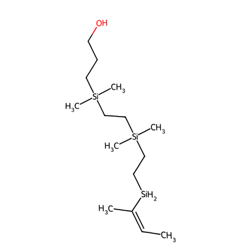 CC=C(C)[SiH2]CC[Si](C)(C)CC[Si](C)(C)CCCO